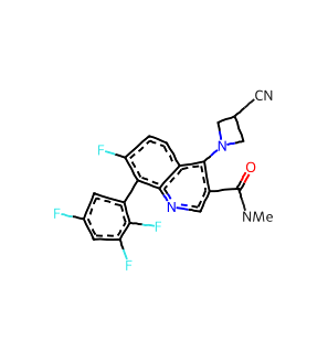 CNC(=O)c1cnc2c(-c3cc(F)cc(F)c3F)c(F)ccc2c1N1CC(C#N)C1